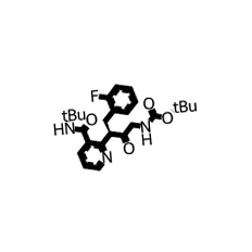 CC(C)(C)NC(=O)c1cccnc1[C@@H](Cc1ccccc1F)C(=O)CNC(=O)OC(C)(C)C